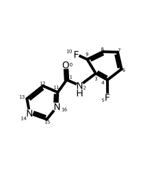 O=C(Nc1c(F)cccc1F)c1ccncn1